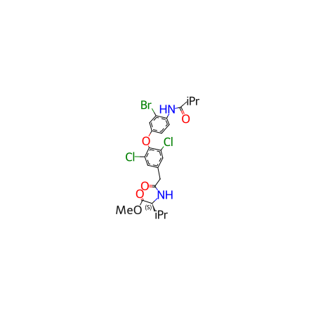 COC(=O)[C@@H](NC(=O)Cc1cc(Cl)c(Oc2ccc(NC(=O)C(C)C)c(Br)c2)c(Cl)c1)C(C)C